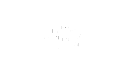 NC(C(=O)O)C(=O)O.O=C(O)C(Cc1ccccc1)=NO